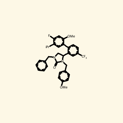 COc1ccc(CN2C(=O)N(Cc3ccccc3)CC2c2cc(C(F)(F)F)ccc2-c2cc(C(C)C)c(F)cc2OC)cc1